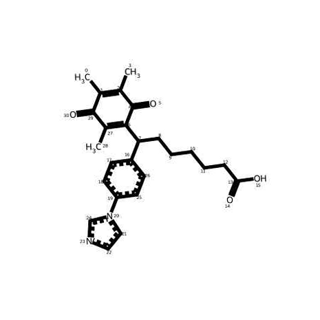 CC1=C(C)C(=O)C(C(CCCCCC(=O)O)c2ccc(-n3ccnc3)cc2)=C(C)C1=O